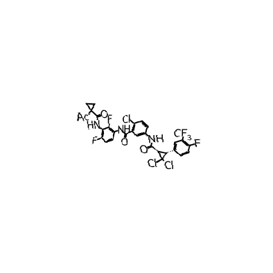 CC(=O)C1(C(=O)Nc2c(F)ccc(NC(=O)c3cc(NC(=O)[C@H]4[C@H](c5ccc(F)c(C(F)(F)F)c5)C4(Cl)Cl)ccc3Cl)c2F)CC1